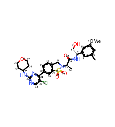 COc1cc(C)cc([C@@H](CO)NC(=O)[C@@H](C)N2Cc3ccc(-c4nc(NC5CCOCC5)ncc4Cl)cc3S2(=O)=O)c1